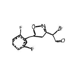 O=CC(Br)C1=NOC(c2c(F)cccc2F)C1